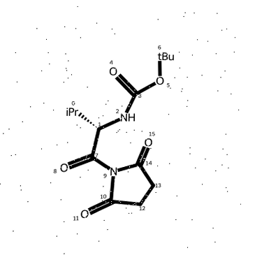 CC(C)[C@H](NC(=O)OC(C)(C)C)C(=O)N1C(=O)CCC1=O